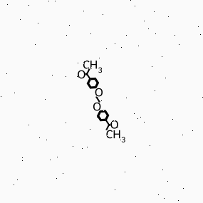 CCC(=O)c1ccc(OCCOc2ccc(C(=O)CC)cc2)cc1